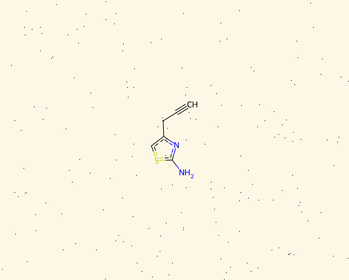 C#CCc1csc(N)n1